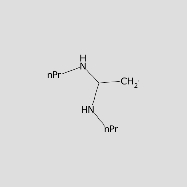 [CH2]C(NCCC)NCCC